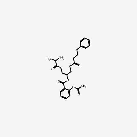 CC(=O)Oc1ccccc1C(=O)OC(COC(=O)CCCc1ccccc1)COC(=O)C(C)N